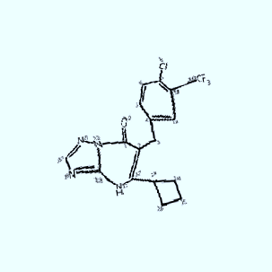 O=c1c(Cc2ccc(Cl)c(C(F)(F)F)c2)c(C2CCC2)[nH]c2ncnn12